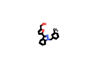 Cc1cccc(Cn2nc(-c3ccc(CO)o3)c3ccccc32)c1